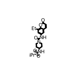 CCc1cc(NC(=O)N2CCC(NS(=O)(=O)C(C)C)CC2)cc2ccc(=O)oc12